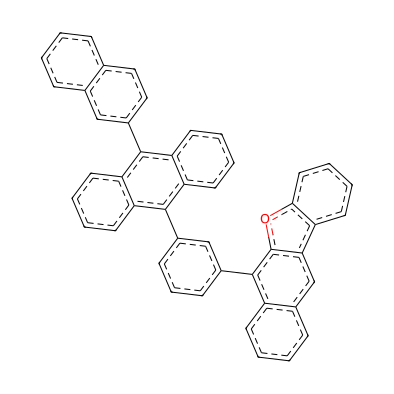 c1cc(-c2c3ccccc3c(-c3ccc4ccccc4c3)c3ccccc23)cc(-c2c3ccccc3cc3c2oc2ccccc23)c1